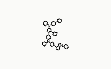 c1ccc(-c2ccc(N(c3ccccc3)c3ccc(-c4ccc(N(c5ccccc5)c5ccc(-c6cccc7c6ccn7-c6ccccc6)cc5)cc4)c(-c4ccccc4)c3)cc2)cc1